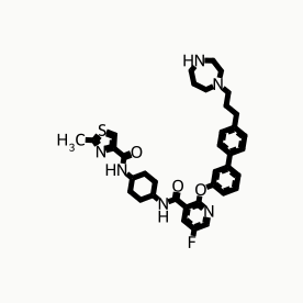 Cc1nc(C(=O)NC2CCC(NC(=O)c3cc(F)cnc3Oc3cccc(-c4ccc(CCCN5CCCNCC5)cc4)c3)CC2)cs1